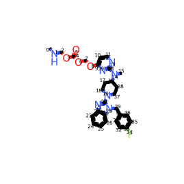 CNCOC(=O)OCOc1ccnc(N(C)C2CCN(c3nc4ccccc4n3Cc3ccc(F)cc3)CC2)n1